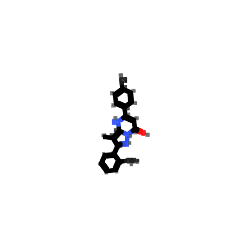 COc1ccccc1-c1nn2c(=O)cc(-c3ccc(C#N)cc3)[nH]c2c1C